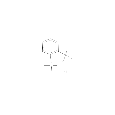 O=S(=O)(O)c1ccccc1C(F)(F)F.[KH]